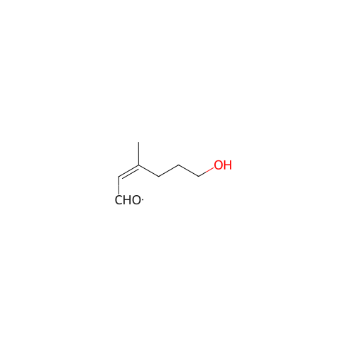 CC(=C[C]=O)CCCO